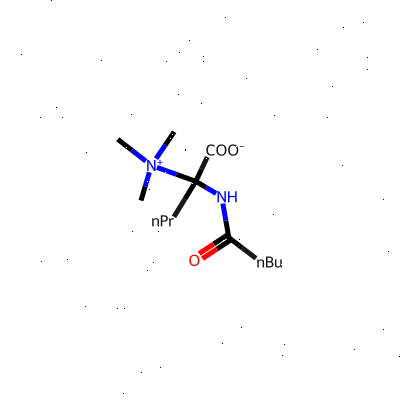 CCCCC(=O)NC(CCC)(C(=O)[O-])[N+](C)(C)C